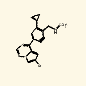 O=C(O)NCc1ccc(-c2ncnn3cc(Br)cc23)cc1C1CC1